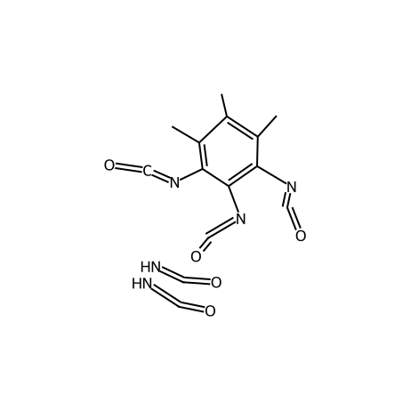 Cc1c(C)c(N=C=O)c(N=C=O)c(N=C=O)c1C.N=C=O.N=C=O